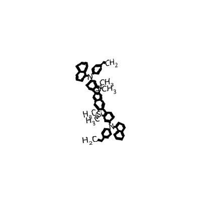 C=Cc1ccc(N(c2ccc3c(c2)[Si](C)(C)c2cc4cc5c(cc4cc2-3)[Si](C)(C)c2cc(N(c3ccc(C=C)cc3)c3cccc4ccccc34)ccc2-5)c2cccc3ccccc23)cc1